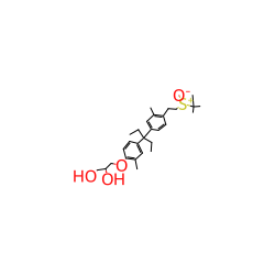 CCC(CC)(c1ccc(CC[S+]([O-])C(C)(C)C)c(C)c1)c1ccc(OC[C@@H](O)CO)c(C)c1